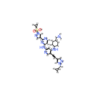 CN(C)CC1CCC(Nc2cc(Nc3ccnc(-c4cnn(S(=O)(=O)C5CC5)c4)n3)ncc2C#Cc2cnn(CC3CC3)c2)CC1